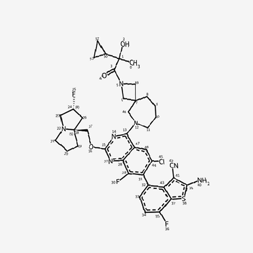 CC(O)(C(=O)N1CC2(CCCCN(c3nc(OC[C@@]45CCCN4C[C@H](F)C5)nc4c(F)c(-c5ccc(F)c6sc(N)c(C#N)c56)c(Cl)cc34)C2)C1)C1CC1